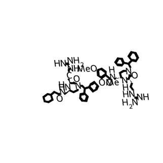 COc1ccc(C(=O)NC[C@@H]2CCN(CC(c3ccccc3)c3ccccc3)C(=O)[C@H](CCCNC(=N)N)N2)c(OC)c1.N=C(N)NCCC[C@@H]1N[C@H](CNC(=O)CC2CCCCC2)CCN(CC(c2ccccc2)c2ccccc2)C1=O